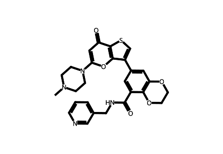 CN1CCN(c2cc(=O)c3scc(-c4cc5c(c(C(=O)NCc6cccnc6)c4)OCCO5)c3o2)CC1